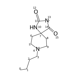 CCCCN1CCC2(CC1)NC(=O)[N]C2=O